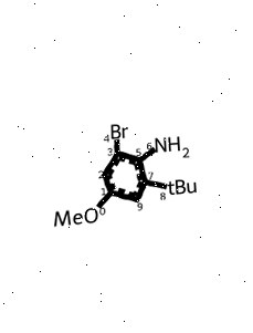 COc1cc(Br)c(N)c(C(C)(C)C)c1